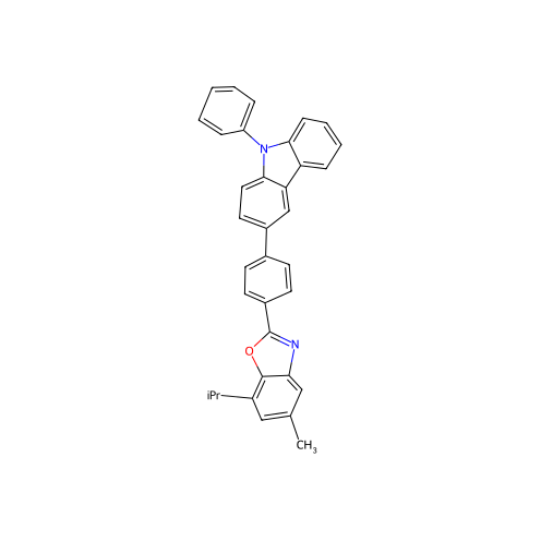 Cc1cc(C(C)C)c2oc(-c3ccc(-c4ccc5c(c4)c4ccccc4n5-c4ccccc4)cc3)nc2c1